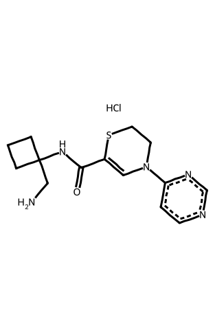 Cl.NCC1(NC(=O)C2=CN(c3ccncn3)CCS2)CCC1